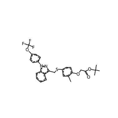 Cc1cc(SCc2nn(-c3ccc(OC(F)(F)F)cc3)c3ccccc23)ccc1OCC(=O)OC(C)(C)C